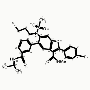 CNC(=O)c1c(-c2ccc(F)cc2)oc2cc(N(CCCF)S(C)(=O)=O)c(-c3cccc(C(=O)NC(C)C#N)c3)cc12